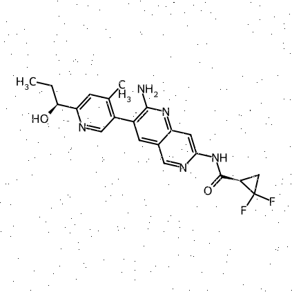 CC[C@H](O)c1cc(C)c(-c2cc3cnc(NC(=O)[C@H]4CC4(F)F)cc3nc2N)cn1